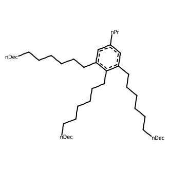 [CH2]CCc1cc(CCCCCCCCCCCCCCCC)c(CCCCCCCCCCCCCCCC)c(CCCCCCCCCCCCCCCC)c1